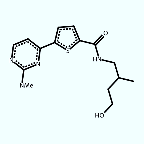 CNc1nccc(-c2ccc(C(=O)NCC(C)CCO)s2)n1